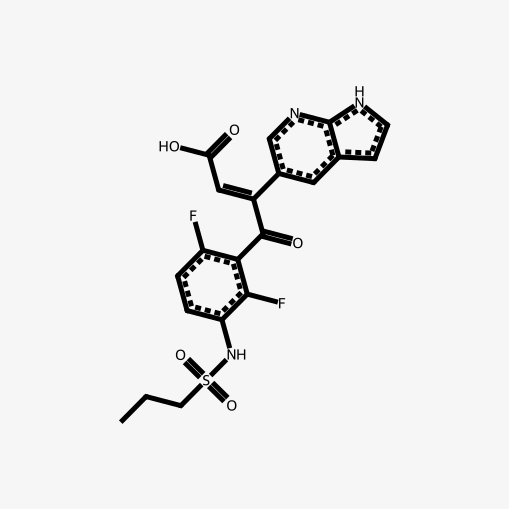 CCCS(=O)(=O)Nc1ccc(F)c(C(=O)/C(=C/C(=O)O)c2cnc3[nH]ccc3c2)c1F